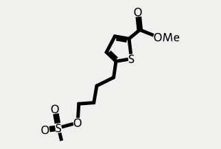 COC(=O)c1ccc(CCCCOS(C)(=O)=O)s1